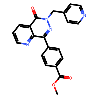 COC(=O)c1ccc(-c2nn(Cc3ccncc3)c(=O)c3cccnc23)cc1